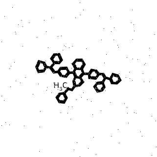 CC(Cc1ccc2c(-c3ccc(C=C(c4ccccc4)c4ccccc4)cc3)c3ccccc3c(-c3ccc(C=C(c4ccccc4)c4ccccc4)cc3)c2c1)c1ccccc1